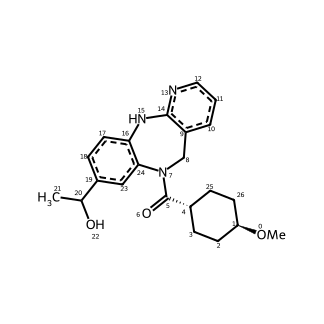 CO[C@H]1CC[C@H](C(=O)N2Cc3cccnc3Nc3ccc(C(C)O)cc32)CC1